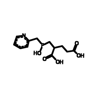 O=C(O)CCC(CP(O)Cc1ccccn1)C(=O)O